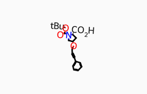 CC(C)(C)OC(=O)N1C[C@H](OCC#Cc2ccccc2)C[C@H]1C(=O)O